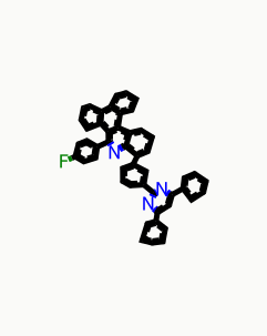 Fc1ccc(-c2nc3c(-c4cccc(-c5nc(-c6ccccc6)cc(-c6ccccc6)n5)c4)cccc3c3c4ccccc4c4ccccc4c23)cc1